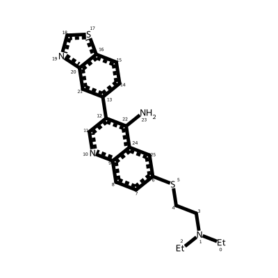 CCN(CC)CCSc1ccc2ncc(-c3ccc4scnc4c3)c(N)c2c1